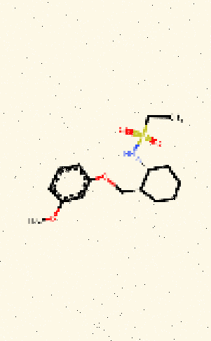 CCS(=O)(=O)N[C@@H]1CCCC[C@H]1COc1cccc(OC)c1